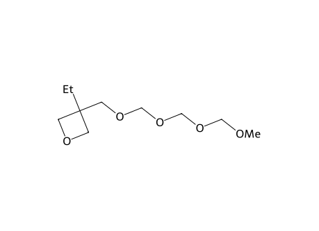 CCC1(COCOCOCOC)COC1